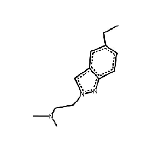 CCc1ccc2nn(CCN(C)C)cc2c1